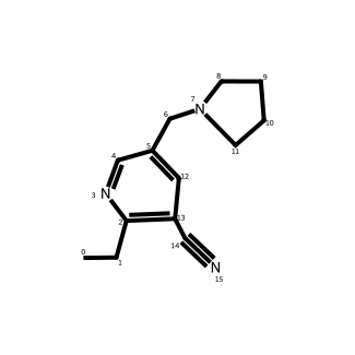 CCc1ncc(CN2CCCC2)cc1C#N